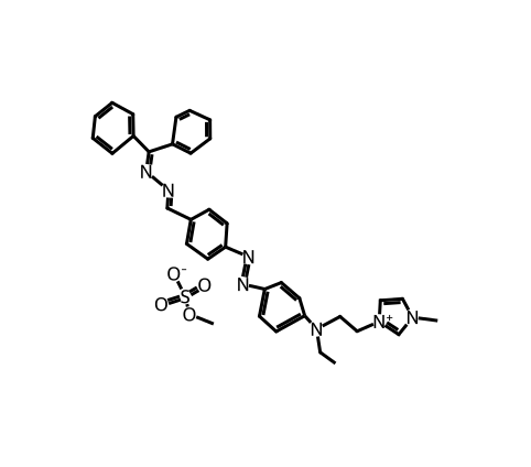 CCN(CC[n+]1ccn(C)c1)c1ccc(N=Nc2ccc(/C=N/N=C(c3ccccc3)c3ccccc3)cc2)cc1.COS(=O)(=O)[O-]